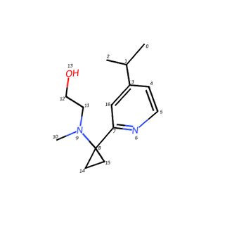 CC(C)c1ccnc(C2(N(C)CCO)CC2)c1